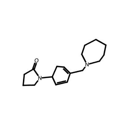 O=C1CCCN1C1C=CC(CN2CCCCCC2)=CC1